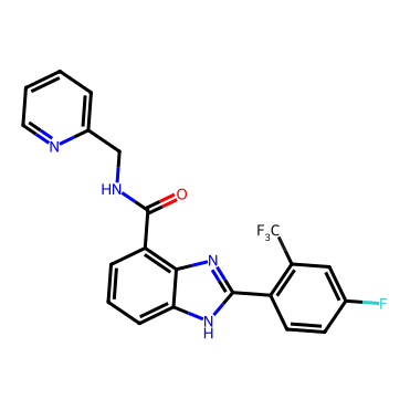 O=C(NCc1ccccn1)c1cccc2[nH]c(-c3ccc(F)cc3C(F)(F)F)nc12